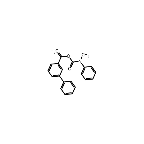 C=C(OC(=O)N(C)c1ccccc1)c1cccc(-c2ccccc2)c1